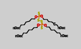 CCCCCCCCCCCCCCCCOP(=S)(OCCCCCCCCCCCCCCCC)SSP(=S)(OCCCCCCCCCCCCCCCC)OCCCCCCCCCCCCCCCC